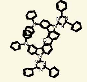 c1ccc(-c2nc(-c3ccccc3)nc(-n3c4ccc(N(c5ccccc5)c5ccccc5)cc4c4c5oc6c(ccc7c6c6cc(N(c8ccccc8)c8ccccc8)ccc6n7-c6nc(-c7ccccc7)nc(-c7ccccc7)n6)c5ccc43)n2)cc1